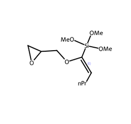 CCC/C=C(\OCC1CO1)[Si](OC)(OC)OC